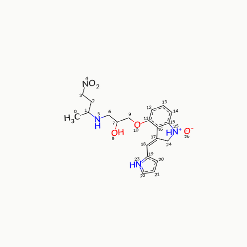 CC(CC[N+](=O)[O-])NCC(O)COc1cccc2c1C(=Cc1ccc[nH]1)C[NH+]2[O-]